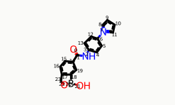 O=C(Nc1ccc(-n2cccc2)cc1)c1ccc2c(c1)B(O)OC2